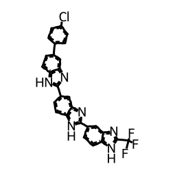 FC(F)(F)c1nc2cc(-c3nc4cc(-c5nc6cc(-c7ccc(Cl)cc7)ccc6[nH]5)ccc4[nH]3)ccc2[nH]1